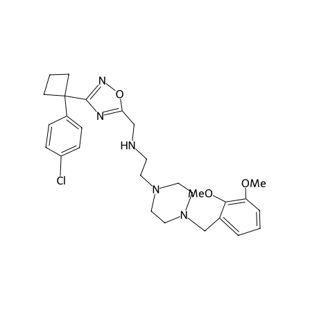 COc1cccc(CN2CCN(CCNCc3nc(C4(c5ccc(Cl)cc5)CCC4)no3)CC2)c1OC